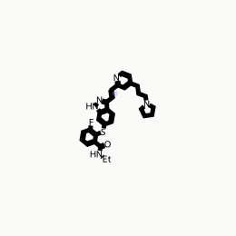 CCNC(=O)c1cccc(F)c1Sc1ccc2c(/C=C/c3cc(CCCN4CCCC4)ccn3)n[nH]c2c1